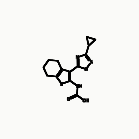 O=C(O)Nc1sc2c(c1-c1nc(C3CC3)no1)CCCC2